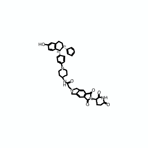 O=C1CCC(N2C(=O)c3cc4c(cc3C2=O)CN(CC(=O)NC2CCN(c3ccc([C@@H]5c6ccc(O)cc6CC[C@@H]5c5ccccc5)cc3)CC2)C4)C(=O)N1